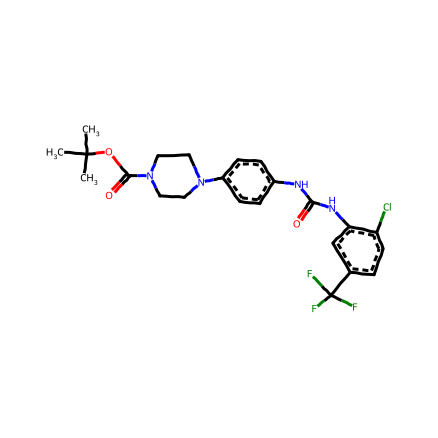 CC(C)(C)OC(=O)N1CCN(c2ccc(NC(=O)Nc3cc(C(F)(F)F)ccc3Cl)cc2)CC1